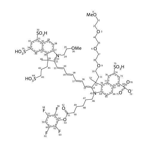 COCCOCCOCCOCCC1(C)\C(=C/C=C/C=C/C=C/C2=[N+](CCOC)c3ccc4c(S(=O)(=O)O)cc(S(=O)(=O)O)cc4c3C2(C)CCCS(=O)(=O)O)N(CCCCCC(=O)Oc2c(F)c(F)cc(F)c2F)c2ccc3c(S(=O)(=O)[O-])cc(S(=O)(=O)O)cc3c21